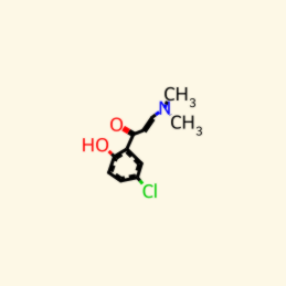 CN(C)C=CC(=O)c1cc(Cl)ccc1O